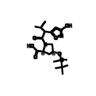 CC(C)C(C(=O)N1C[C@H](O[Si](C)(C)C(C)(C)C)C[C@H]1C(=O)O)c1cc(O)no1